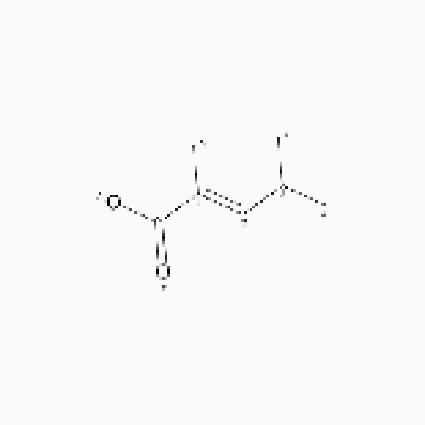 C/C(=C\C(C)C)C([O])=O